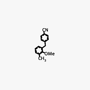 COc1c(C)cccc1Cc1ccc(C#N)cc1